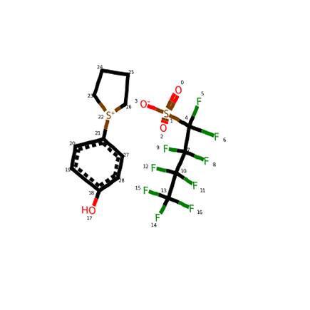 O=S(=O)([O-])C(F)(F)C(F)(F)C(F)(F)C(F)(F)F.Oc1ccc([S+]2CCCC2)cc1